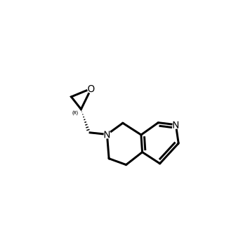 c1cc2c(cn1)CN(C[C@@H]1CO1)CC2